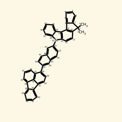 CC1(C)c2ccccc2-c2c1ccc1c2c2ccccc2n1-c1ccc2cc(-c3ccc4c5c(cccc35)-c3ccccc3-4)ccc2c1